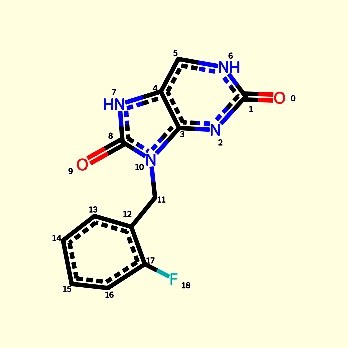 O=c1nc2c(c[nH]1)[nH]c(=O)n2Cc1ccccc1F